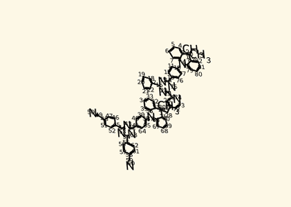 CC1(C)c2ccccc2N(c2ccc(-c3nc(-c4ccccc4)nc(-c4cc(CC5(C)c6ccccc6N(c6ccc(-c7nc(-c8ccc(C#N)cc8)nc(-c8ccc(C#N)cc8)n7)cc6)c6ccccc65)ccn4)n3)cc2)c2ccccc21